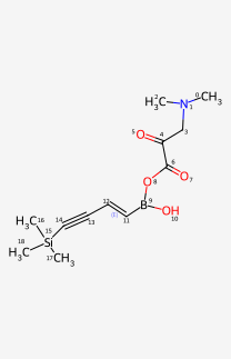 CN(C)CC(=O)C(=O)OB(O)/C=C/C#C[Si](C)(C)C